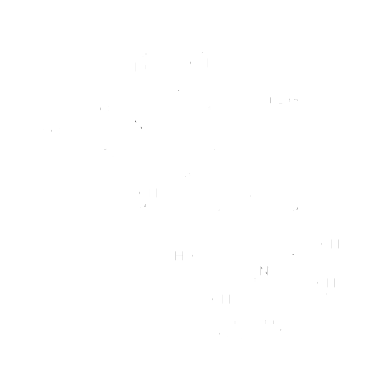 CCCCCCCCCCCC(C1CC(C)(C)N(OCCCCCCCC)C(C)(C)C1)C1CC(C)(C)N(OCCCCCCCC)C(C)(C)C1